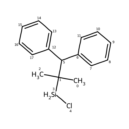 CC(C)([SiH2]Cl)C(c1ccccc1)c1ccccc1